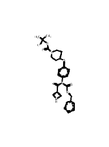 CC(C)(C)OC(=O)N1CCC(Sc2ccc(N(C(=O)OCc3ccccc3)C(=O)C3CNC3)cc2)CC1